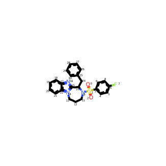 O=S(=O)(c1ccc(F)cc1)N1CCCn2c(nc3ccccc32)C1Cc1ccccc1